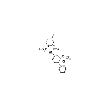 O=C(NC1=CC=C(c2ccccc2)C(Cl)(OC(F)(F)F)C1)[C@H]1C[C@H](F)CCN1C(=O)O